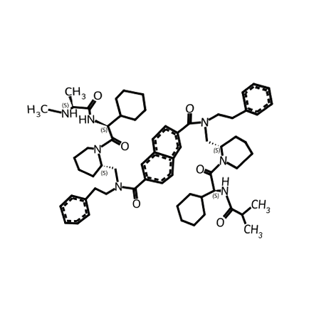 CN[C@@H](C)C(=O)N[C@H](C(=O)N1CCCC[C@H]1CN(CCc1ccccc1)C(=O)c1ccc2cc(C(=O)N(CCc3ccccc3)C[C@@H]3CCCCN3C(=O)[C@@H](NC(=O)C(C)C)C3CCCCC3)ccc2c1)C1CCCCC1